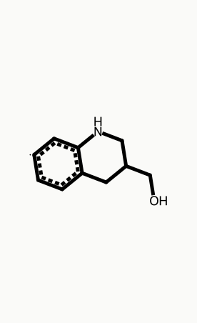 OCC1CNc2c[c]ccc2C1